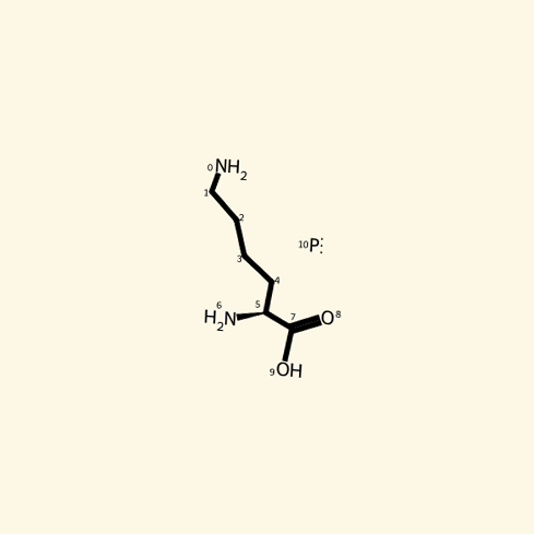 NCCCC[C@H](N)C(=O)O.[P]